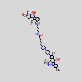 CCc1cc2c(cc1N1CCC(N3CCN(CCCCCC(=O)NCCCCCNc4cccc5c(=C=O)n(C6CCC(=C=O)NC6=C=O)c(=C=O)c45)CC3)CC1)C(C)(C)c1[nH]c3cc(C#N)ccc3c1C2=C=O